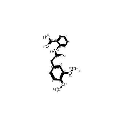 COc1ccc(CC(=O)Nc2ccccc2C(=O)O)cc1OC